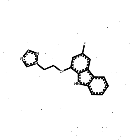 Fc1cc(OCCn2cncn2)c2[nH]c3ccccc3c2c1